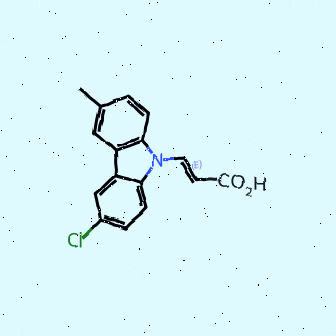 Cc1ccc2c(c1)c1cc(Cl)ccc1n2/C=C/C(=O)O